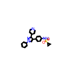 O=S(=O)(Nc1ccc(-c2cn(-c3ccccc3)nc2-c2ccncc2)cc1)C1CC1